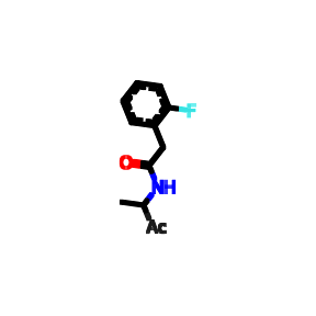 CC(=O)C(C)NC(=O)Cc1ccccc1F